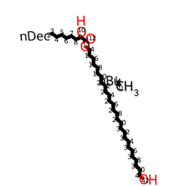 CCCCC.CCCCCCCCCCCCCCCCC(O)C(=O)OCCCCCCCCCCCCCCCCCCCCCCCCCCCCO